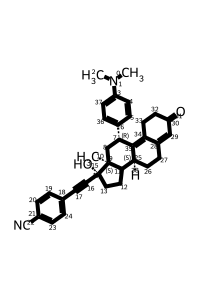 CN(C)c1ccc([C@H]2C[C@@]3(C)C(CC[C@@]3(O)C#Cc3ccc(C#N)cc3)[C@@H]3CCC4=CC(=O)CCC4=C32)cc1